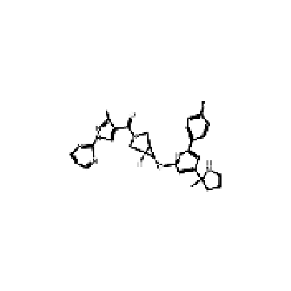 Cc1nn(-c2ncccn2)cc1C(=O)N1CC2[C@@H](C1)[C@@H]2Oc1cc(C2(C)CCCN2)cc(-c2ccc(F)cc2)n1